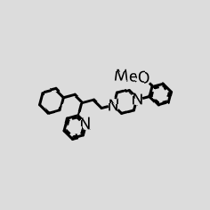 COc1ccccc1N1CCN(CCC(CC2CCCCC2)c2ccccn2)CC1